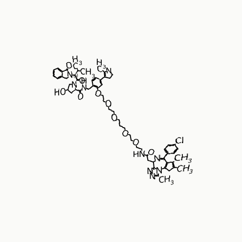 CC1=C(C)C2=C(C1)n1c(C)nnc1C(CC(=O)NCCOCCOCCCOCCOCCOc1cc(C3=C(C)N=CC3)ccc1CNC(=O)C1CC(O)CN1C(=O)[C@H](C(C)C)N1Cc3ccccc3C1=O)N=C2c1ccc(Cl)cc1